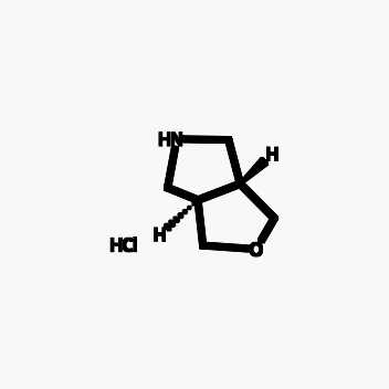 C1NC[C@@H]2COC[C@@H]12.Cl